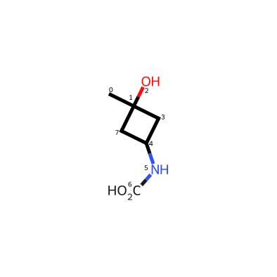 CC1(O)CC(NC(=O)O)C1